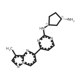 Cc1cnn2ccc(-c3ccnc(N[C@H]4CC[C@H](N)C4)n3)nc12